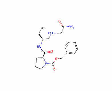 CC(C)C[C@@H](CNCC(N)=O)NC(=O)[C@@H]1CCCN1C(=O)OCc1ccccc1